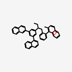 CCC(Cc1ccccc1-c1c(C)ccc2c3ccc(o3)c12)c1cc(-c2ccc3ccccc3c2)cc(-c2cccc3ccccc23)c1